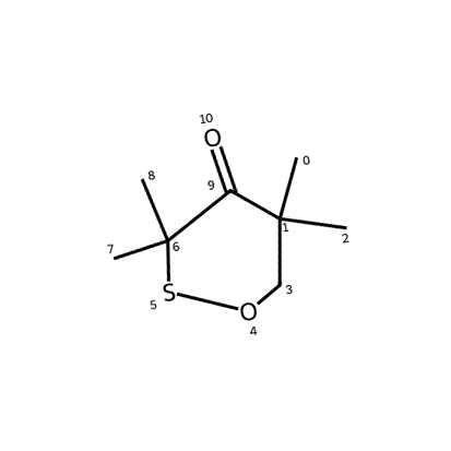 CC1(C)COSC(C)(C)C1=O